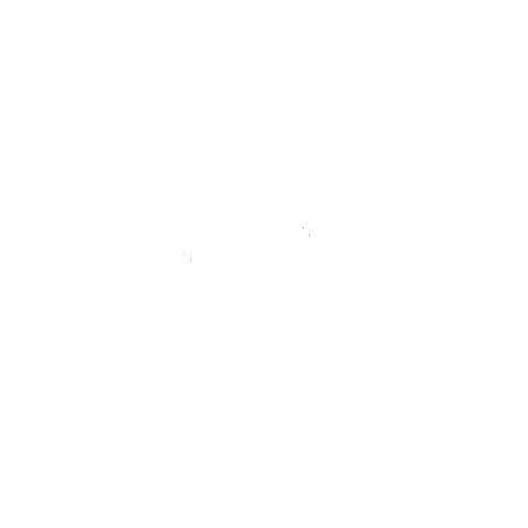 CC1(C)Cc2cc3c(cc2C1)N(c1ccccc1)c1cc(C(C)(C)C)cc2c1B3c1cc3c(cc1N2c1ccccc1)CCCC3